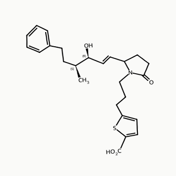 C[C@@H](CCc1ccccc1)[C@@H](O)C=CC1CCC(=O)N1CCCc1ccc(C(=O)O)s1